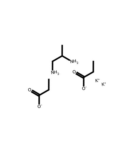 CC(N)CN.CCC(=O)[O-].CCC(=O)[O-].[K+].[K+]